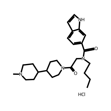 CCCCN(CC(=O)N1CCC(C2CCN(C)CC2)CC1)C(=O)c1ccc2cc[nH]c2c1.Cl